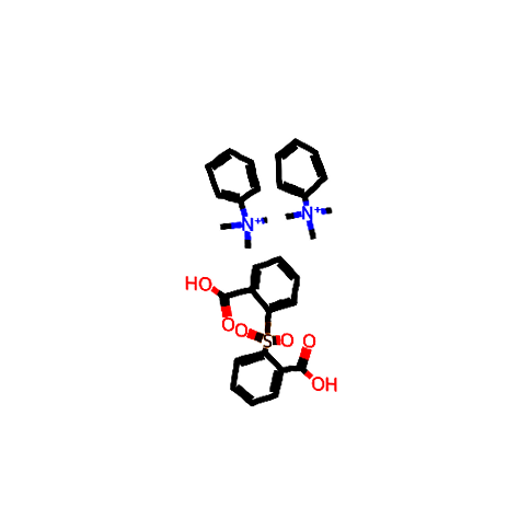 C[N+](C)(C)c1ccccc1.C[N+](C)(C)c1ccccc1.O=C(O)c1ccccc1S(=O)(=O)c1ccccc1C(=O)O